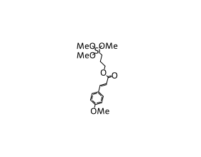 COc1ccc(C=CC(=O)OCCC[Si](OC)(OC)OC)cc1